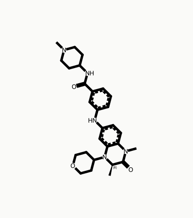 C[C@@H]1C(=O)N(C)c2ccc(Nc3cccc(C(=O)NC4CCN(C)CC4)c3)cc2N1C1CCOCC1